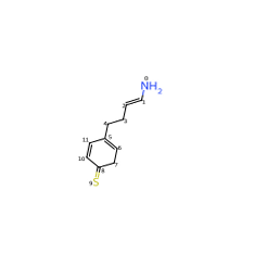 NC=CCCC1=CCC(=S)C=C1